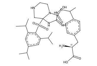 CC(C)c1cc(C(C)C)c(S(=O)(=O)C2(NC(=N)NO)CNCCN2C(=O)OC(C)c2ccc(C[C@H](N)C(=O)O)cc2)c(C(C)C)c1